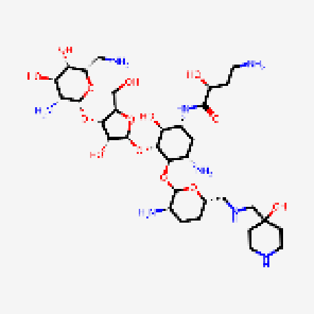 NCC[C@H](O)C(=O)N[C@@H]1C[C@H](N)[C@@H](O[C@H]2O[C@H](CNCC3(O)CCNCC3)CC[C@H]2N)[C@H](O[C@@H]2O[C@H](CO)[C@@H](O[C@H]3O[C@@H](CN)[C@@H](O)[C@H](O)[C@H]3N)[C@H]2O)[C@H]1O